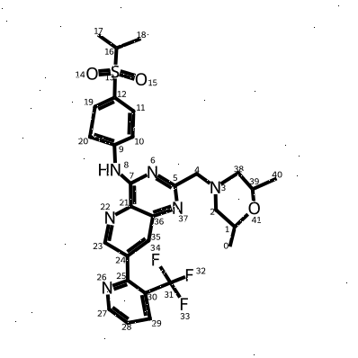 CC1CN(Cc2nc(Nc3ccc(S(=O)(=O)C(C)C)cc3)c3ncc(-c4ncccc4C(F)(F)F)cc3n2)CC(C)O1